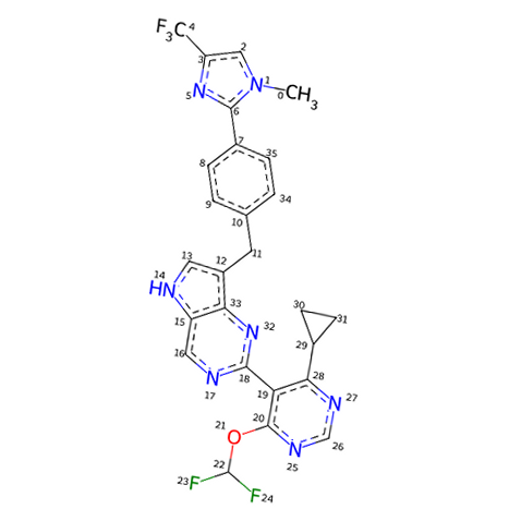 Cn1cc(C(F)(F)F)nc1-c1ccc(Cc2c[nH]c3cnc(-c4c(OC(F)F)ncnc4C4CC4)nc23)cc1